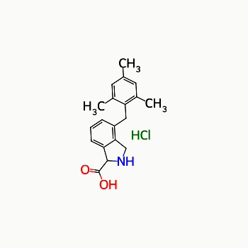 Cc1cc(C)c(Cc2cccc3c2CNC3C(=O)O)c(C)c1.Cl